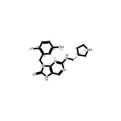 O=c1[nH]c2cnc(NC[C@@H]3CCNC3)nc2n1Cc1cc(O)ccc1F